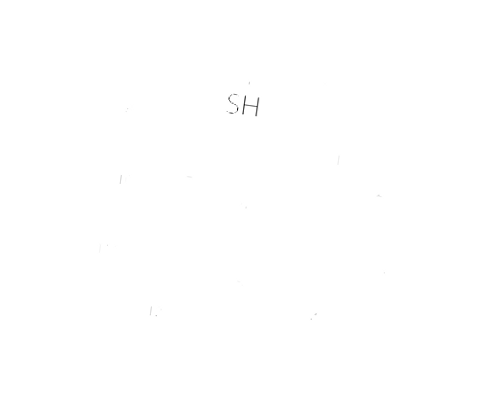 Cc1cccc2c1[C@](C)(S)CCC2